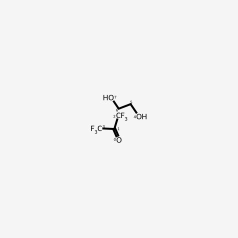 O=C(C(F)(F)F)C(F)(F)F.OCCO